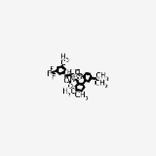 COc1ccc(C(C)C)cc1C1=C(CN2C(=O)O[C@H](c3cc(C)cc(C(F)(F)F)c3)[C@@H]2C)CC(C)(C)CC1